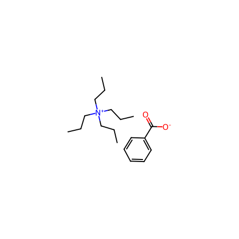 CCC[N+](CCC)(CCC)CCC.O=C([O-])c1ccccc1